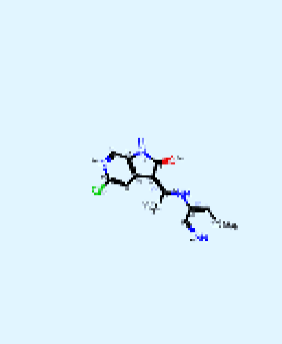 CN/C=C(\C=N)N/C(C)=C1\C(=O)Nc2cnc(Cl)cc21